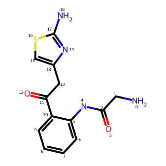 NCC(=O)[N]c1ccccc1C(=O)Cc1csc(N)n1